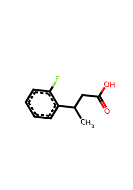 CC(CC(=O)O)c1ccccc1F